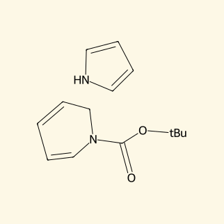 CC(C)(C)OC(=O)N1C=CC=CC1.c1cc[nH]c1